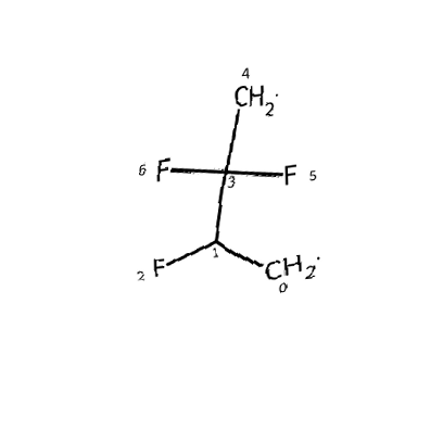 [CH2]C(F)C([CH2])(F)F